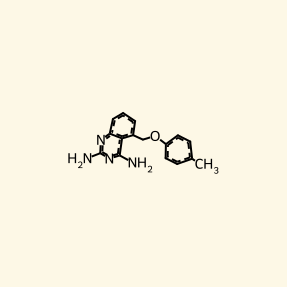 Cc1ccc(OCc2cccc3nc(N)nc(N)c23)cc1